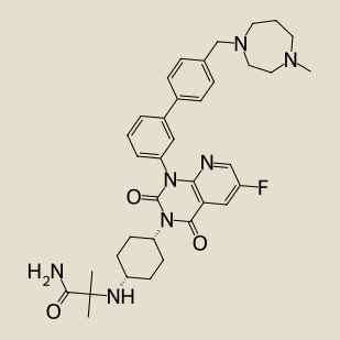 CN1CCCN(Cc2ccc(-c3cccc(-n4c(=O)n([C@H]5CC[C@@H](NC(C)(C)C(N)=O)CC5)c(=O)c5cc(F)cnc54)c3)cc2)CC1